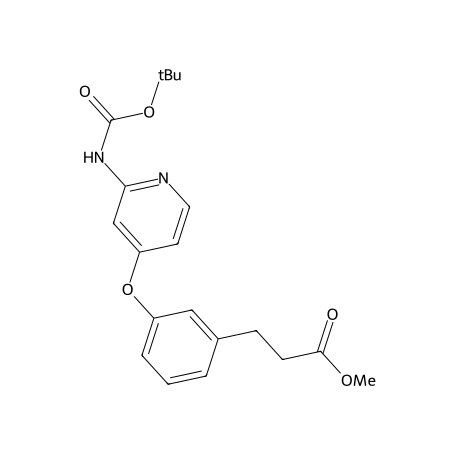 COC(=O)CCc1cccc(Oc2ccnc(NC(=O)OC(C)(C)C)c2)c1